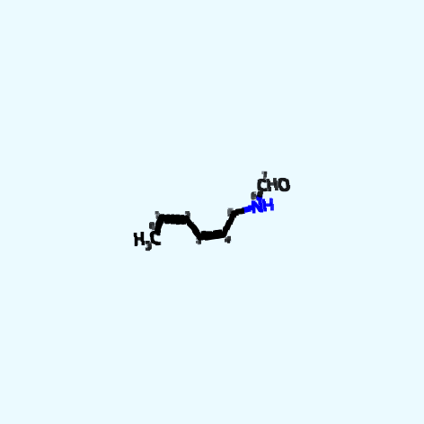 C/C=C\C=C/CNC=O